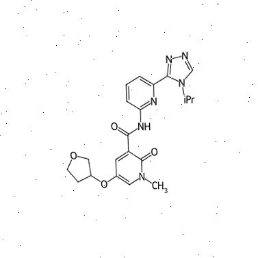 CC(C)n1cnnc1-c1cccc(NC(=O)c2cc(OC3CCOC3)cn(C)c2=O)n1